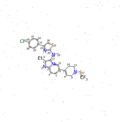 CCc1nc2ccc(C3=CCN(SC(F)(F)F)CC3)cn2c1N(C)c1nc(-c2ccc(Cl)cc2)cs1